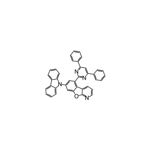 c1ccc(-c2cc(-c3ccccc3)nc(-c3cc(-n4c5ccccc5c5ccccc54)cc4oc5ncccc5c34)n2)cc1